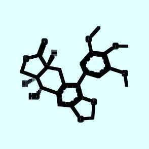 COc1cc(-c2c3c(cc4c2OCO4)[C@H](O)[C@H]2COC(=O)[C@@H]2C3)cc(OC)c1OC